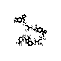 N=S(=O)(CCC(c1cc(OC(=O)[C@@H](N)CCS(=N)(=O)CCC2(c3ccc4[nH]c(OC(=O)[C@@H](N)CCS(=N)(=O)CCC5(c6ccc7[nH]nnc7c6)CCC5)nc4c3)CCC2)ccc1O)C(F)(F)F)CC[C@H](N)C(=O)O